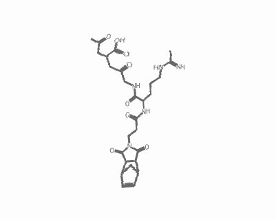 CC(=N)NCCCC(NC(=O)CCN1C(=O)C2C3C=CC(C3)C2C1=O)C(=O)NCC(=O)CC(CC(C)=O)C(=O)O